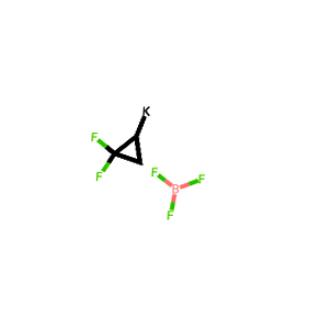 FB(F)F.FC1(F)C[CH]1[K]